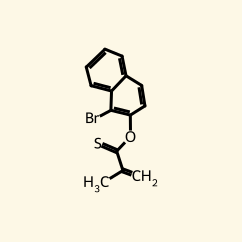 C=C(C)C(=S)Oc1ccc2ccccc2c1Br